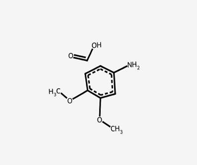 COc1ccc(N)cc1OC.O=CO